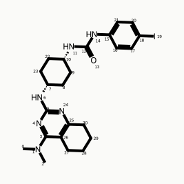 CN(C)c1nc(N[C@H]2CC[C@@H](NC(=O)Nc3ccc(I)cc3)CC2)nc2c1CCCC2